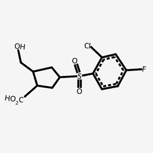 O=C(O)C1CC(S(=O)(=O)c2ccc(F)cc2Cl)CC1CO